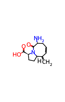 C=C1C=CC[C@H](N)C(=O)N2[C@@H]1CC[C@H]2C(=O)O